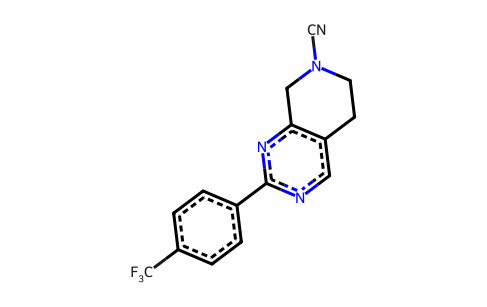 N#CN1CCc2cnc(-c3ccc(C(F)(F)F)cc3)nc2C1